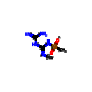 CC(C)N=C(NC(=N)N)NS(C)(=O)=O